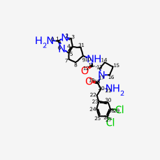 Nc1ncc2c(n1)CCC(NC(=O)[C@@H]1CCCN1C(=O)[C@H](N)Cc1ccc(Cl)c(Cl)c1)C2